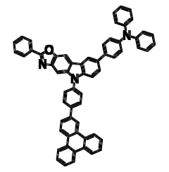 c1ccc(-c2nc3cc4c(cc3o2)c2cc(-c3ccc(N(c5ccccc5)c5ccccc5)cc3)ccc2n4-c2ccc(-c3ccc4c5ccccc5c5ccccc5c4c3)cc2)cc1